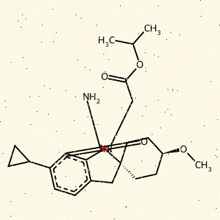 CO[C@H]1CC[C@]2(CC1)Cc1ccc(C3CC3)cc1C21N=C(N)N(CC(=O)OC(C)C)C1=O